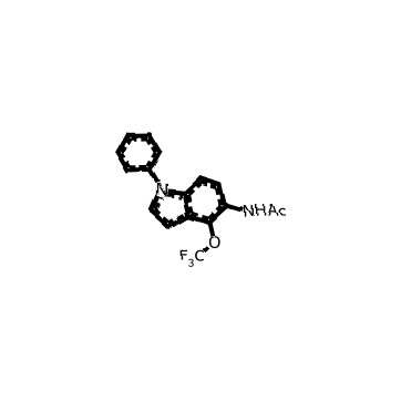 CC(=O)Nc1ccc2c(ccn2-c2ccccc2)c1OC(F)(F)F